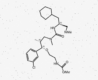 CNC[C@H](CC1CCCCC1)NC(=O)N(C)C[C@@H](C)[C@H](OCCNC(=O)OC)c1cccc(Cl)c1